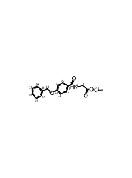 CCOC(=O)CNC(=O)c1ccc(OCc2ccccc2)cc1